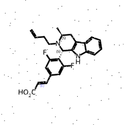 C=CCCN1[C@@H](c2c(F)cc(/C=C/C(=O)O)cc2F)c2[nH]c3ccccc3c2C[C@@H]1C